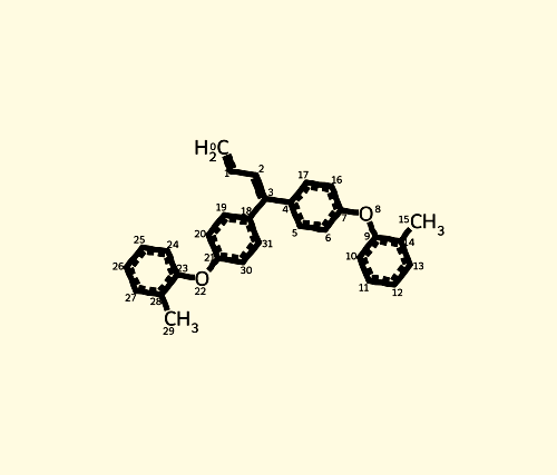 C=CC=C(c1ccc(Oc2ccccc2C)cc1)c1ccc(Oc2ccccc2C)cc1